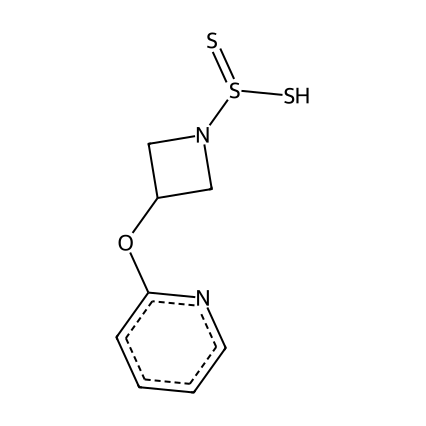 S=S(S)N1CC(Oc2ccccn2)C1